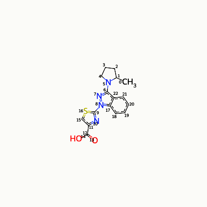 CC1CCCN1c1nn(-c2nc(C(=O)O)cs2)c2ccccc12